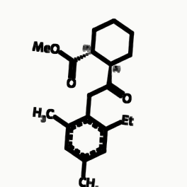 CCc1cc(C)cc(C)c1CC(=O)[C@@H]1CCCC[C@H]1C(=O)OC